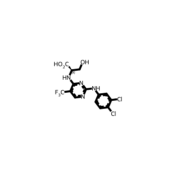 O=C(O)[C@@H](CO)Nc1nc(Nc2ccc(Cl)c(Cl)c2)ncc1C(F)(F)F